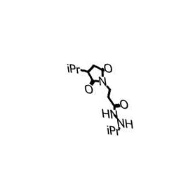 CC(C)NNC(=O)CCN1C(=O)CC(C(C)C)C1=O